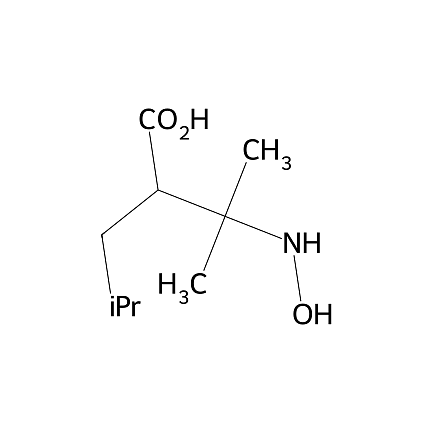 CC(C)CC(C(=O)O)C(C)(C)NO